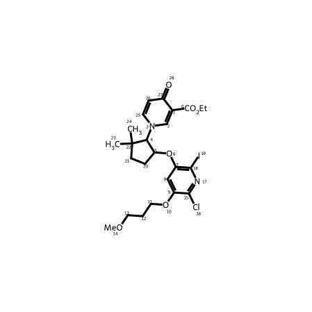 CCOC(=O)c1cn(C2C(Oc3cc(OCCCOC)c(Cl)nc3I)CCC2(C)C)ccc1=O